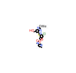 COc1cnc2c(-c3nc4c(Cl)cc5c(c4s3)CC(OC(=O)N(C)c3ccc(C)nc3)O5)cc(CO)cc2n1